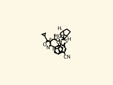 N#Cc1cc(F)c2nc([C@]3(O)[C@@H]4CC[C@H]3C[C@H](OCc3c(-c5ccccc5OC(F)F)noc3C3CC3)C4)sc2c1